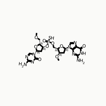 COC[C@H]1O[C@@H](n2cnc(N)nc2=O)C[C@H]1OP(=O)(S)OC[C@H]1O[C@@H](n2cnc3c(=O)[nH]c(N)nc32)C[C@H]1OC